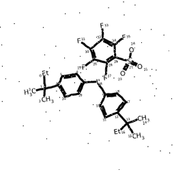 CCC(C)(C)c1ccc([I+]c2ccc(C(C)(C)CC)cc2)cc1.O=S(=O)([O-])c1c(F)c(F)c(F)c(F)c1F